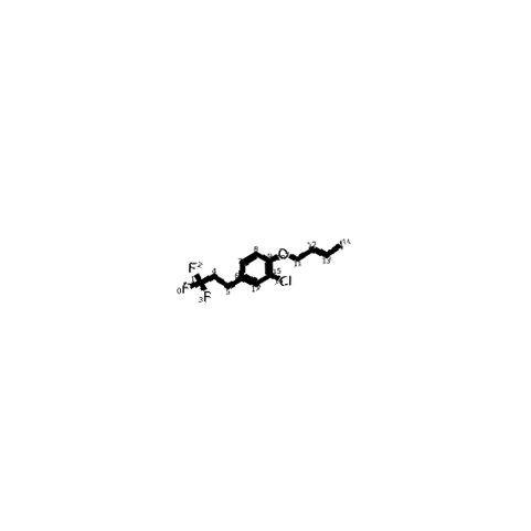 FC(F)(F)CCc1ccc(OCCCI)c(Cl)c1